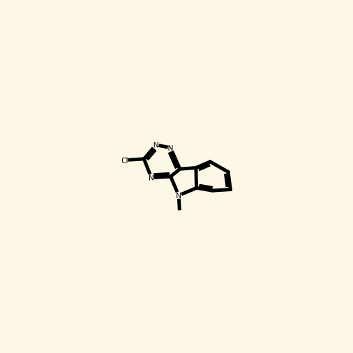 Cn1c2ccccc2c2nnc(Cl)nc21